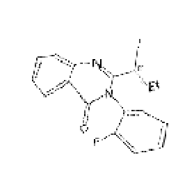 CC[C@@H](I)c1nc2ccccc2c(=O)n1-c1ccccc1F